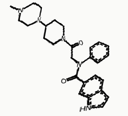 CN1CCN(C2CCN(C(=O)CN(C(=O)c3ccc4cc[nH]c4c3)c3ccccc3)CC2)CC1